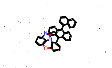 CCc1nc2cccc3c2n1-c1c(cccc1-c1c2ccccc2c(-c2cccc4ccccc24)c2ccccc12)O3